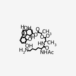 CC(=O)N[C@@H](CCCCN)C(=O)N[C@@H](C)C(=O)O[C@@H](C)C(=O)OC1=CC[C@@]2(O)[C@@H]3CCC[C@@]24c2c(ccc(O)c2O[C@@H]14)C3